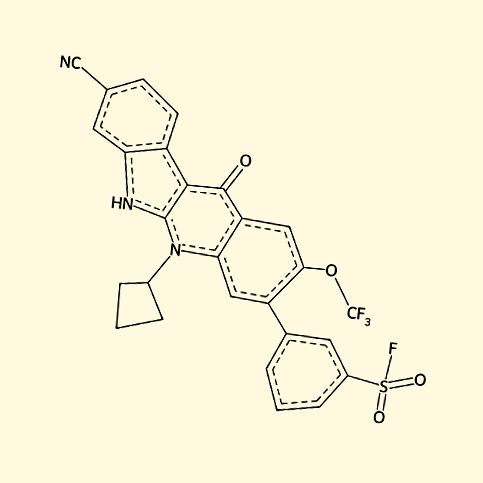 N#Cc1ccc2c(c1)[nH]c1c2c(=O)c2cc(OC(F)(F)F)c(-c3cccc(S(=O)(=O)F)c3)cc2n1C1CCC1